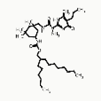 CCCCCCCCC(CCCCCC)COC(=O)NC1CC(C)(C)CC(C)(CNC(=O)N(N)c2nc(=O)c(CCC)c(C)[nH]2)C1